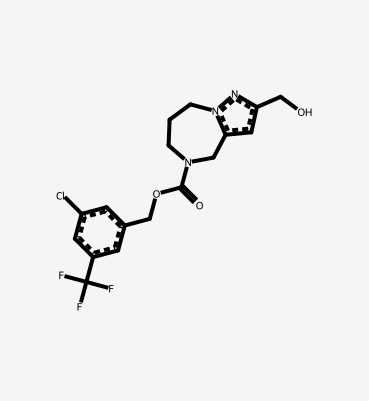 O=C(OCc1cc(Cl)cc(C(F)(F)F)c1)N1CCCn2nc(CO)cc2C1